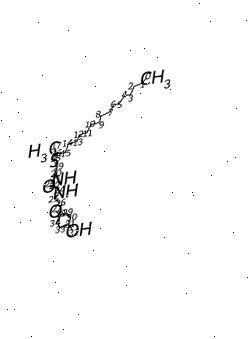 CCCCCCCCCCCCCCCCC(C)SCCNC(=O)NCCOc1ccc(O)cc1